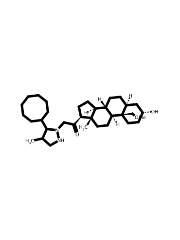 COC[C@]12CC[C@@H](O)C[C@@H]1CC[C@H]1[C@@H]3CC[C@H](C(=O)CN4NCC(C)C4C4CCCCCCC4)[C@@]3(C)CC[C@@H]12